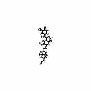 CCCN1C[C@H]2CC(COc3cc4ncnc(Nc5ccc(Br)c(Cl)c5F)c4cc3OC)C[C@H]2C1